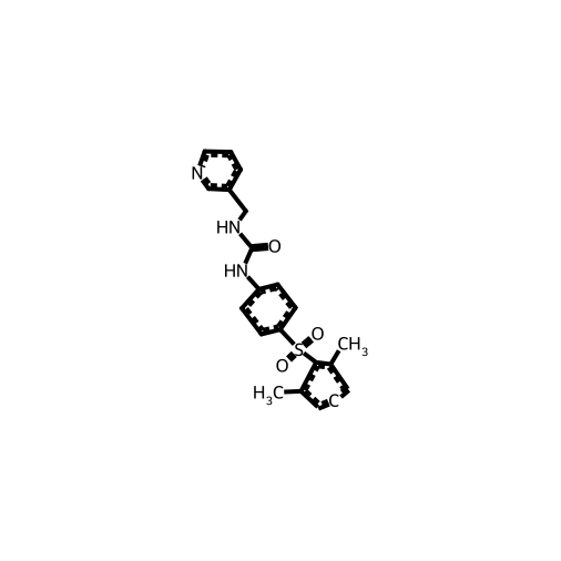 Cc1cccc(C)c1S(=O)(=O)c1ccc(NC(=O)NCc2cccnc2)cc1